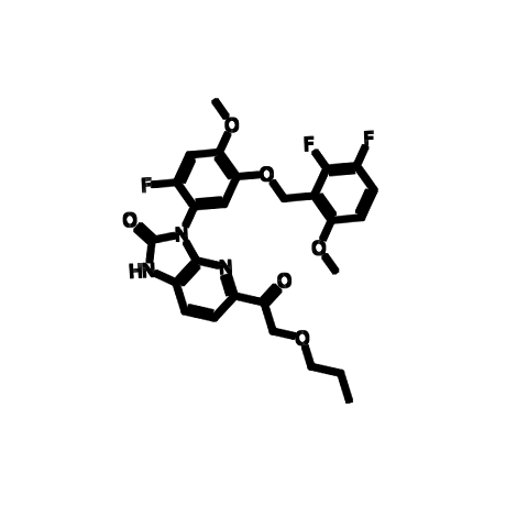 CCCOCC(=O)c1ccc2[nH]c(=O)n(-c3cc(OCc4c(OC)ccc(F)c4F)c(OC)cc3F)c2n1